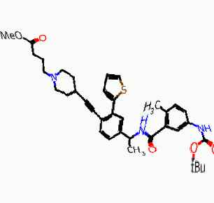 COC(=O)CCCN1CCC(C#Cc2ccc(C(C)NC(=O)c3cc(NC(=O)OC(C)(C)C)ccc3C)cc2-c2cccs2)CC1